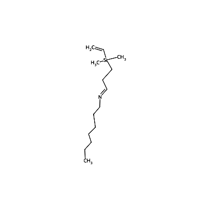 C=C[Si](C)(C)CCC=NCCCCCCC